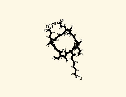 C=CC1=C(C)c2nc1cc1[nH]c(cc3nc(cc4[nH]c(c(C=C)c4C)c2C(=O)CCCCCN)C(C)=C3CCC(=O)O)c(CCC(=O)O)c1C